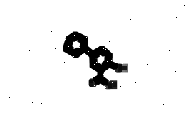 O=C(S)c1cc(-c2ccccc2)ccc1O